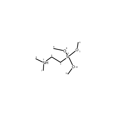 CO[Si](CC[SiH](C)C)(OC)OC